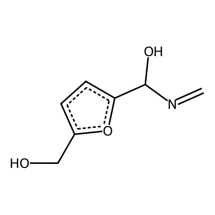 C=NC(O)c1ccc(CO)o1